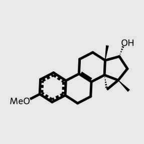 COc1ccc2c(c1)CCC1=C2CC[C@]2(C)[C@H](O)C[C@]3(C)C[C@@]132